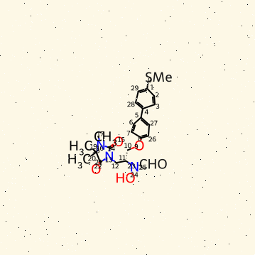 CSc1ccc(-c2ccc(OC[C@@H](CN3C(=O)N(C)C(C)(C)C3=O)N(O)C=O)cc2)cc1